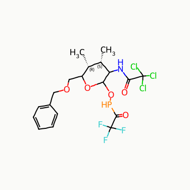 C[C@@H]1C(NC(=O)C(Cl)(Cl)Cl)C(OPC(=O)C(F)(F)F)OC(COCc2ccccc2)[C@@H]1C